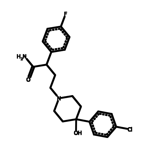 NC(=O)C(CCN1CCC(O)(c2ccc(Cl)cc2)CC1)c1ccc(F)cc1